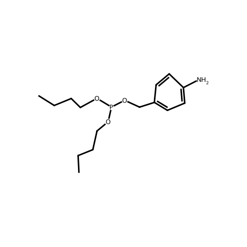 CCCCOP(OCCCC)OCc1ccc(N)cc1